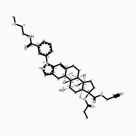 CCC(=O)O[C@]1(C(=O)SCC#N)CC[C@H]2[C@@H]3CCC4=Cc5c(cnn5-c5cccc(C(=O)NCCSC)c5)C[C@]4(C)[C@H]3[C@@H](O)C[C@@]21C